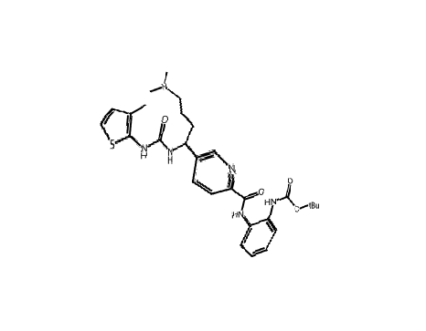 Cc1ccsc1NC(=O)NC(CCCN(C)C)c1ccc(C(=O)Nc2ccccc2NC(=O)OC(C)(C)C)nc1